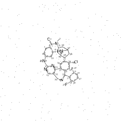 CN(C(=O)c1ccc(Nc2ncc3c(n2)-c2ccc(Cl)cc2C(c2c(F)cccc2F)=NC3)cc1)C1CC2CCC(C1)N2